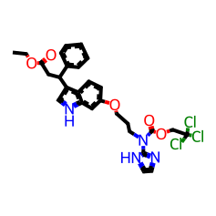 CCOC(=O)CC(c1ccccc1)c1c[nH]c2cc(OCCCN(C(=O)OCC(Cl)(Cl)Cl)c3ncc[nH]3)ccc12